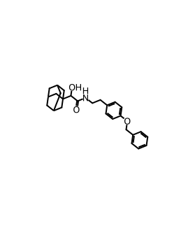 O=C(NCCc1ccc(OCc2ccccc2)cc1)C(O)C12CC3CC(CC(C3)C1)C2